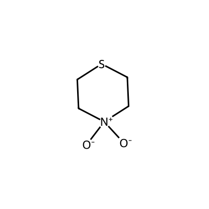 [O-][N+]1([O-])CCSCC1